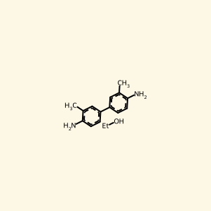 CCO.Cc1cc(-c2ccc(N)c(C)c2)ccc1N